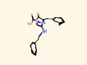 O=C(O)N1C(=O)C(Cc2ccccc2)N2CC1=C2NCCc1ccccc1